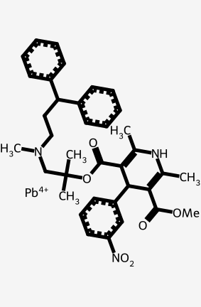 COC(=O)C1=C(C)NC(C)=C(C(=O)OC(C)(C)CN(C)CCC(c2ccccc2)c2ccccc2)C1c1cccc([N+](=O)[O-])c1.[Pb+4]